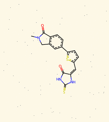 CN1Cc2cc(-c3ccc(C=C4NC(=S)NC4=O)s3)ccc2C1=O